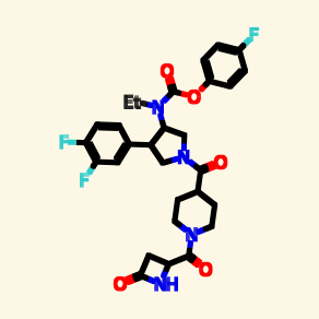 CCN(C(=O)Oc1ccc(F)cc1)C1CN(C(=O)C2CCN(C(=O)C3CC(=O)N3)CC2)CC1c1ccc(F)c(F)c1